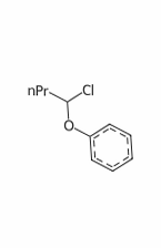 CCCC(Cl)Oc1ccccc1